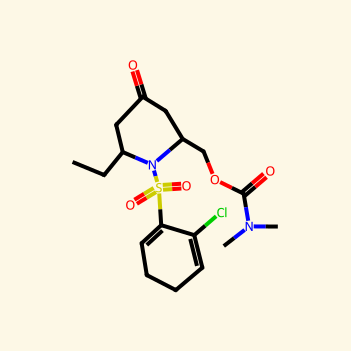 CCC1CC(=O)CC(COC(=O)N(C)C)N1S(=O)(=O)C1=CCCC=C1Cl